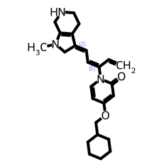 C=C/C(=C\C=C1/CN(C)C2=C1CCNC2)n1ccc(OCC2CCCCC2)cc1=O